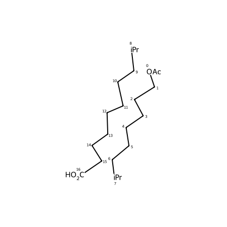 CC(=O)OCCCCCCC(C)C.CC(C)CCCCCCCC(=O)O